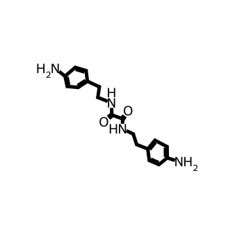 Nc1ccc(CCNC(=O)C(=O)NCCc2ccc(N)cc2)cc1